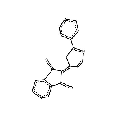 O=C1C(=C2C=CN=C(c3ccccc3)C2)C(=O)c2ccccc21